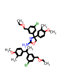 C=C(c1cc(Br)cc(COCC)c1)c1ccc(OC)c(C)c1.CCOCc1cc(Br)cc(C2(c3ccc(OC)c(C)c3)COC(N)=N2)c1